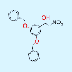 O=[N+]([O-])CC(O)c1cc(OCc2ccccc2)cc(OCc2ccccc2)c1